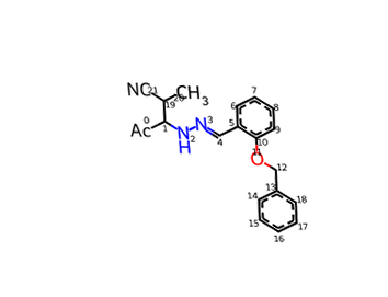 CC(=O)C(NN=Cc1ccccc1OCc1ccccc1)C(C)C#N